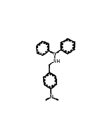 CN(C)c1ccc(CNN(c2ccccc2)c2ccccc2)cc1